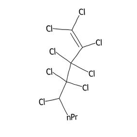 CCCC(Cl)C(Cl)(Cl)C(Cl)(Cl)C(Cl)=C(Cl)Cl